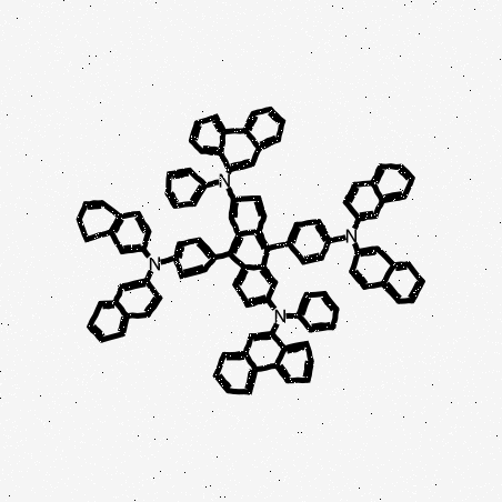 C1=Cc2ccc(N(c3ccc(-c4c5ccc(N(c6ccccc6)c6cc7ccccc7c7ccccc67)cc5c(-c5ccc(N(c6ccc7ccccc7c6)c6ccc7ccccc7c6)cc5)c5ccc(N(c6ccccc6)c6cc7ccccc7c7ccccc67)cc45)cc3)c3ccc4ccccc4c3)cc2CC1